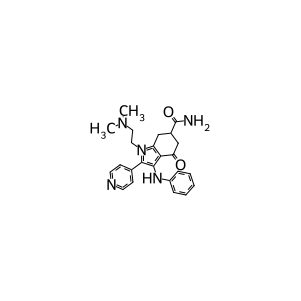 CN(C)CCn1c2c(c(Nc3ccccc3)c1-c1ccncc1)C(=O)CC(C(N)=O)C2